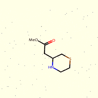 COC(=O)CC1CSCCN1